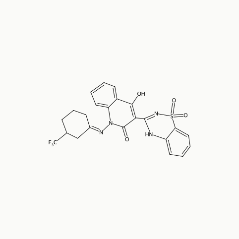 O=c1c(C2=NS(=O)(=O)c3ccccc3N2)c(O)c2ccccc2n1/N=C1\CCCC(C(F)(F)F)C1